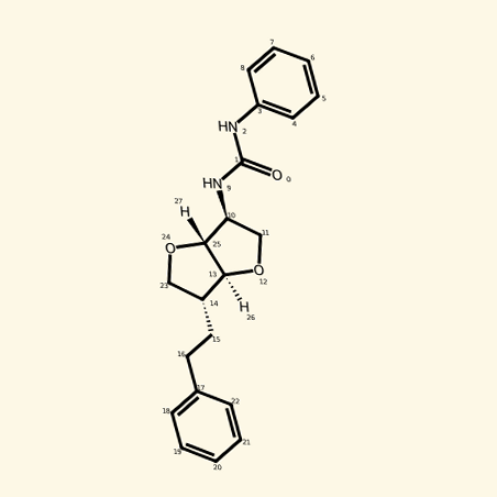 O=C(Nc1ccccc1)N[C@H]1CO[C@H]2[C@H](CCc3ccccc3)CO[C@@H]21